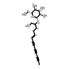 CC#CC#CC#C/C=C/CCC(CO)O[C@@H]1O[C@H](CO)[C@@H](O)[C@H](O)[C@H]1O